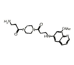 COc1cc(NCCC(=O)N2CCN(C(=O)CCN)CC2)cc2cccnc12